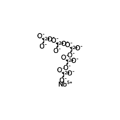 [Nb+5].[O-][I+2]([O-])[O-].[O-][I+2]([O-])[O-].[O-][I+2]([O-])[O-].[O-][I+2]([O-])[O-].[O-][I+2]([O-])[O-]